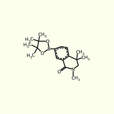 CN1CC(C)(C)c2ccc(B3OC(C)(C)C(C)(C)O3)cc2C1=O